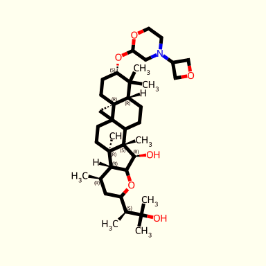 C[C@@H]1CC([C@H](C)C(C)(C)O)OC2[C@H]1[C@@]1(C)CCC34C[C@@]35CC[C@H](OC3CN(C6COC6)CCO3)C(C)(C)[C@@H]5CCC4[C@]1(C)[C@H]2O